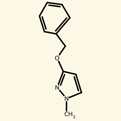 Cn1ccc(OCc2ccccc2)n1